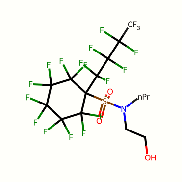 CCCN(CCO)S(=O)(=O)C1(C(F)(F)C(F)(F)C(F)(F)C(F)(F)F)C(F)(F)C(F)(F)C(F)(F)C(F)(F)C1(F)F